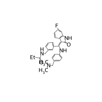 CCC(=O)NCc1cccc(/C(Nc2ccc(CN(C)C)cc2)=C2/C(=O)Nc3cc(F)ccc32)c1